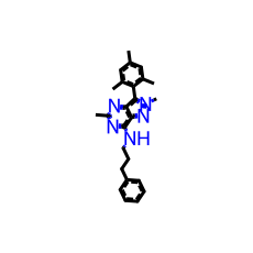 Cc1cc(C)c(-c2c3nc(C)nc(NCCCc4ccccc4)c3nn2C)c(C)c1